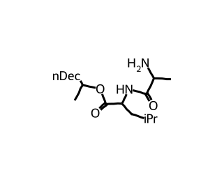 CCCCCCCCCCC(C)OC(=O)C(CC(C)C)NC(=O)C(C)N